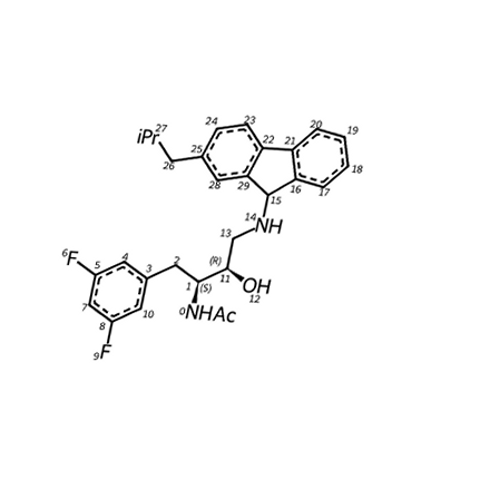 CC(=O)N[C@@H](Cc1cc(F)cc(F)c1)[C@H](O)CNC1c2ccccc2-c2ccc(CC(C)C)cc21